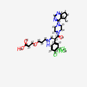 C[C@@H]1CCc2ncnc(N3CCN(C(=O)[C@H](CNCCCOCCC(=O)O)c4ccc(Cl)cc4)CC3)c21.Cl.Cl